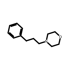 [CH](CCN1CCOCC1)c1ccccc1